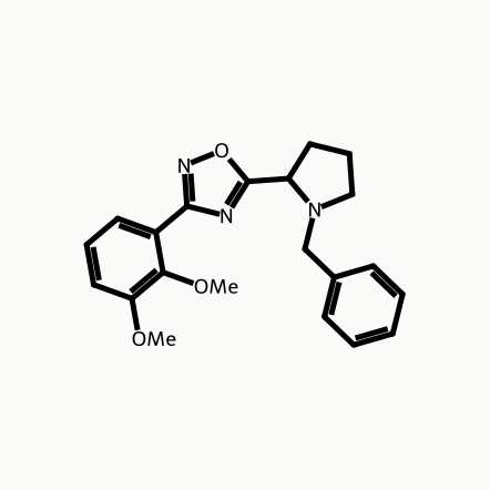 COc1cccc(-c2noc(C3CCCN3Cc3ccccc3)n2)c1OC